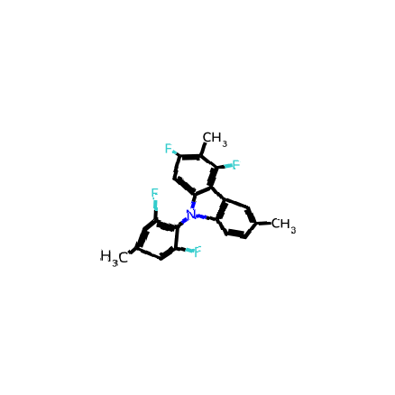 Cc1cc(F)c(-n2c3ccc(C)cc3c3c(F)c(C)c(F)cc32)c(F)c1